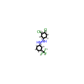 FC(F)(F)c1cccc(NNc2ccc(Cl)c(Cl)c2)c1